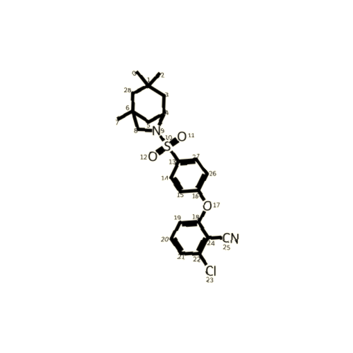 CC1(C)CC2CC(C)(CN2S(=O)(=O)c2ccc(Oc3cccc(Cl)c3C#N)cc2)C1